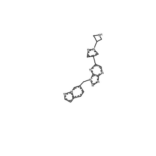 c1cc2ccc(Cn3nnc4ncc(-c5cnn(C6CNC6)c5)nc43)cn2n1